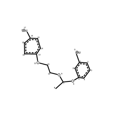 CCC(C)c1cccc(OC(C)OCCOc2ccc(C(C)(C)C)cc2)c1